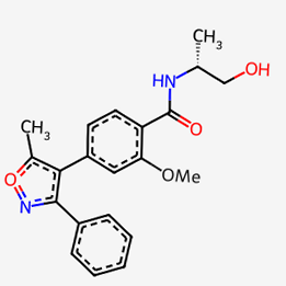 COc1cc(-c2c(-c3ccccc3)noc2C)ccc1C(=O)N[C@H](C)CO